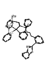 CCCCC(CC(C(=O)NCCc1ccccc1-c1nc2ccccc2[nH]1)C(C)(c1ccccc1-c1ccccc1)c1ccccc1-c1ccccc1)C(=O)O